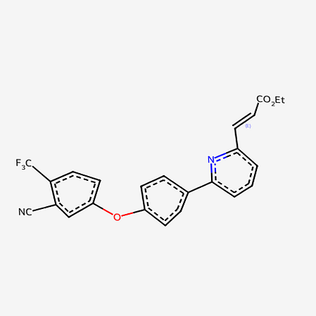 CCOC(=O)/C=C/c1cccc(-c2ccc(Oc3ccc(C(F)(F)F)c(C#N)c3)cc2)n1